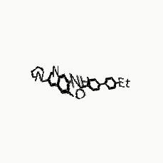 CCc1ccc(-c2ccc(C(=O)Nc3cc4ncc(CN5CCCC5)cc4cc3C)cc2)cc1